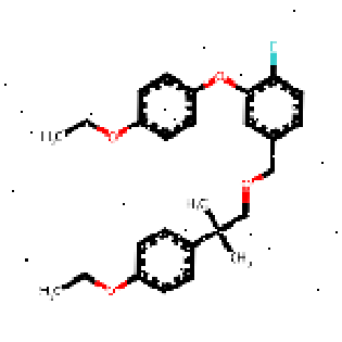 CCOc1ccc(Oc2cc(COCC(C)(C)c3ccc(OCC)cc3)ccc2F)cc1